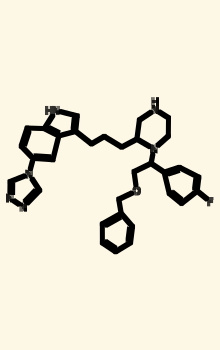 Fc1ccc(C(COCc2ccccc2)N2CCNCC2CCCc2c[nH]c3ccc(-n4cnnc4)cc23)cc1